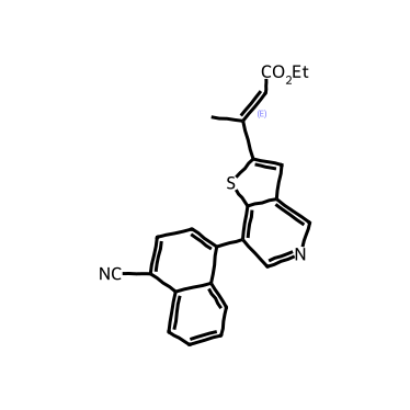 CCOC(=O)/C=C(\C)c1cc2cncc(-c3ccc(C#N)c4ccccc34)c2s1